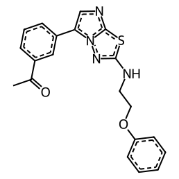 CC(=O)c1cccc(-c2cnc3sc(NCCOc4ccccc4)nn23)c1